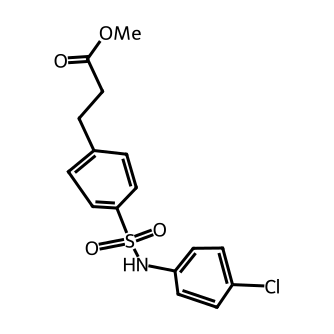 COC(=O)CCc1ccc(S(=O)(=O)Nc2ccc(Cl)cc2)cc1